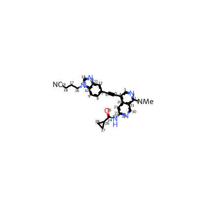 CNc1ncc(C#Cc2ccc3c(c2)ncn3CCCC#N)c2cc(NC(=O)C3CC3)ncc12